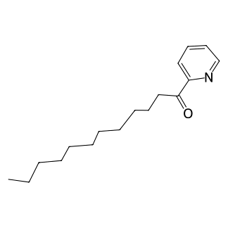 CCCCCCCCCCCC(=O)c1ccccn1